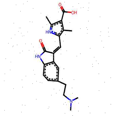 Cc1[nH]c(/C=C2\C(=O)Nc3ccc(CCN(C)C)cc32)c(C)c1C(=O)O